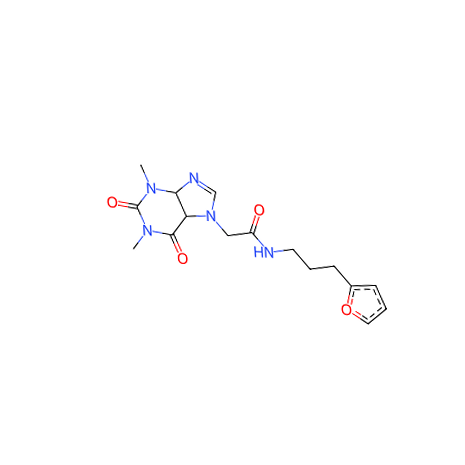 CN1C(=O)C2C(N=CN2CC(=O)NCCCc2ccco2)N(C)C1=O